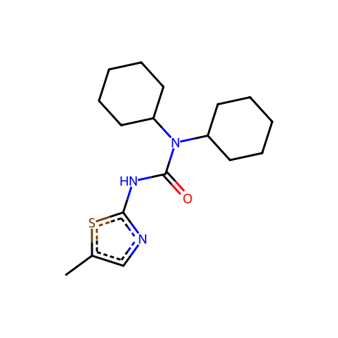 Cc1cnc(NC(=O)N(C2CCCCC2)C2CCCCC2)s1